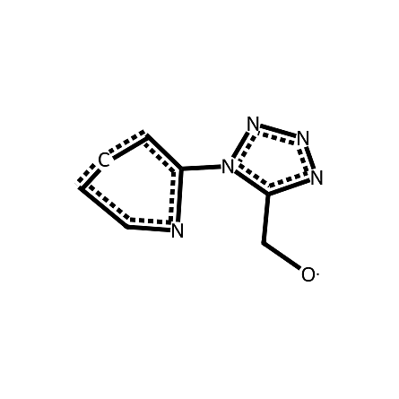 [O]Cc1nnnn1-c1ccccn1